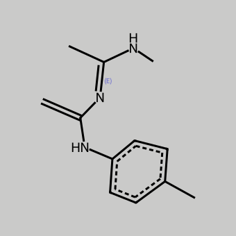 C=C(/N=C(\C)NC)Nc1ccc(C)cc1